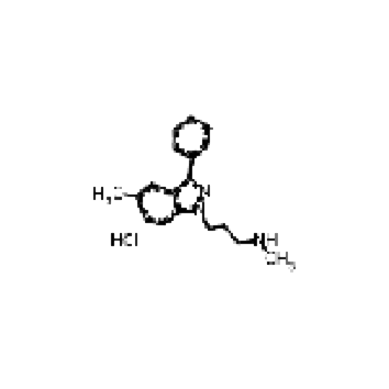 CNCCCn1nc(-c2ccccc2)c2cc(C)ccc21.Cl